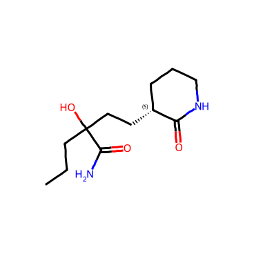 CCCC(O)(CC[C@@H]1CCCNC1=O)C(N)=O